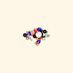 C#C/C(Cl)=C1\C=C/Cc2c(-c3ccc(F)cc3)sc3ncnc(c23)O[C@@H](C(=O)O)Cc2cc(ccc2OCc2ccnc(-c3ccccc3OC)n2)OC[C@@H](CN2CCS(=O)(=O)CC2)O1